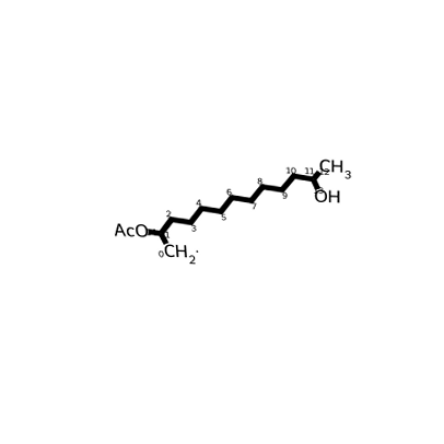 [CH2]C(CCCCCCCCCC(C)O)OC(C)=O